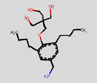 CCCCc1cc(CN)cc(CCCC)c1OCC(CO)(CO)CO